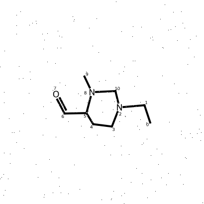 CCN1CCC(C=O)N(C)C1